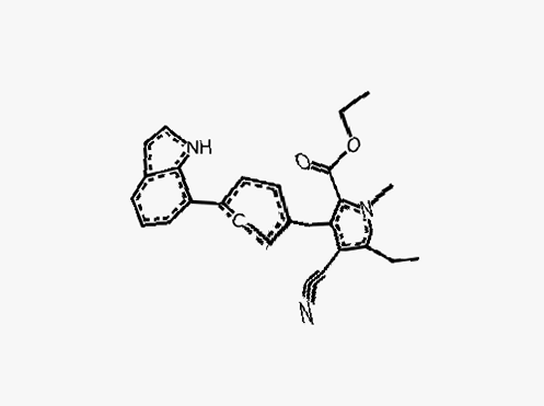 CCOC(=O)c1c(-c2ccc(-c3cccc4cc[nH]c34)cc2)c(C#N)c(CC)n1C